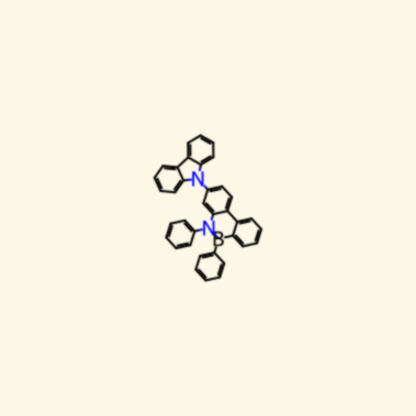 c1ccc(B2c3ccccc3-c3ccc(-n4c5ccccc5c5ccccc54)cc3N2c2ccccc2)cc1